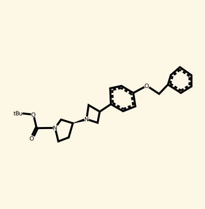 CC(C)(C)OC(=O)N1CC[C@H](N2CC(c3ccc(OCc4ccccc4)cc3)C2)C1